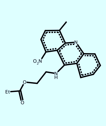 CCC(=O)OCCNc1c2ccccc2nc2c(C)ccc([N+](=O)[O-])c12